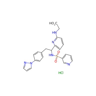 Cl.O=C(O)CNc1cccc(C(Cc2ccc(-n3cccn3)cc2)NS(=O)(=O)c2cccnc2)n1